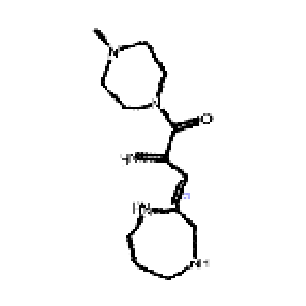 CN1CCN(C(=O)C(=N)/C=C2/CNCCCN2)CC1